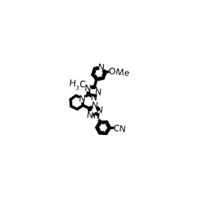 COc1cc(-c2nnc(N3CCCCC3c3nnn(-c4cccc(C#N)c4)n3)n2C)ccn1